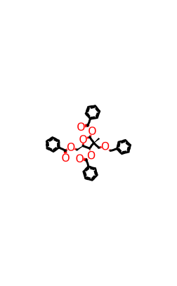 C[C@]1(COCc2ccccc2)C(OC(=O)c2ccccc2)O[C@H](COC(=O)c2ccccc2)[C@H]1OC(=O)c1ccccc1